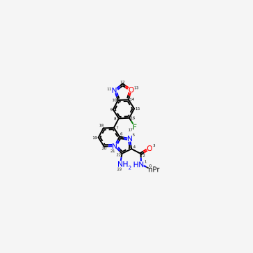 CCCNC(=O)c1nc2c(-c3cc4ncoc4cc3F)cccn2c1N